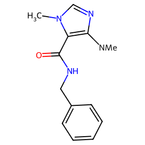 CNc1ncn(C)c1C(=O)NCc1ccccc1